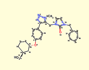 Cn1nnc(-c2ccc(O[C@H]3CCC[C@H](C(=O)O)C3)cc2)c1Cn1ccn(Cc2ccccc2)c1=O